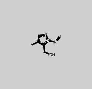 C=Nn1ncc(C)c1CO